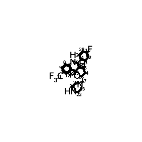 FC1=CCC([C@@H]2Nc3ccc(C(F)(F)F)cc3[C@H]3O[C@@H](CN4CCNCC4)CC[C@H]32)C=C1